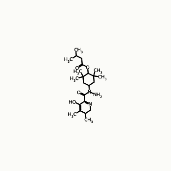 CC1=C(O)C(C(=O)N(N)C2CC(C)(C)C(OC(=O)CC(C)C)C(C)(C)C2)=NCC1C